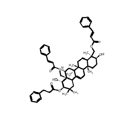 CC1(C)CC2C3=CCC4[C@@]5(C)CC[C@H](O)[C@](C)(COC(=O)/C=C/c6ccccc6)C5CC[C@@]4(C)[C@]3(C)C[C@@H](O)[C@@]2(COC(=O)/C=C/c2ccccc2)[C@@H](O)[C@@H]1OC(=O)CCc1ccccc1